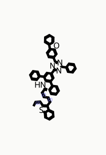 C=C(/C=C\C=C/c1c(/C=C\C)sc2ccccc12)Nc1c(-c2ccccc2)cc(-c2nc(-c3ccccc3)nc(-c3ccc4c(c3)oc3ccccc34)n2)cc1-c1ccccc1